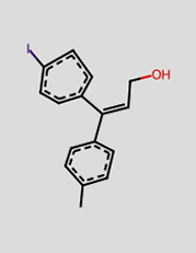 Cc1ccc(C(=CCO)c2ccc(I)cc2)cc1